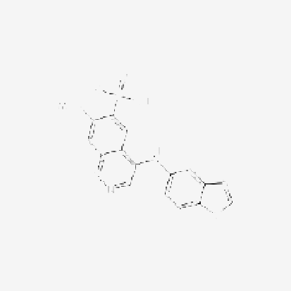 COc1cc2nncc(Nc3ccc4scnc4c3)c2cc1P(C)(C)=O